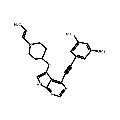 CC=CN1CCC(Nc2c[nH]c3ncnc(C#Cc4cc(OC)cc(OC)c4)c23)CC1